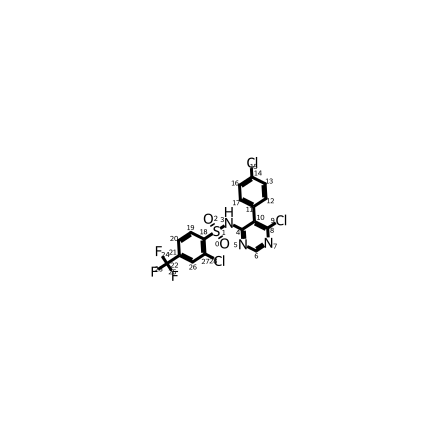 O=S(=O)(Nc1ncnc(Cl)c1-c1ccc(Cl)cc1)c1ccc(C(F)(F)F)cc1Cl